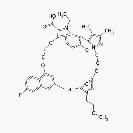 CCn1c(C(=O)O)c2c3ccc(Cl)c(c31)-c1c(C)c(C)nn1CCCc1cc(n(CCOC)n1)CCc1cc(c3ccc(F)cc3c1)OCCC2